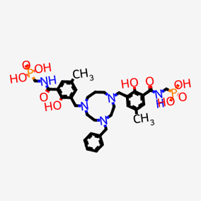 Cc1cc(CN2CCCN(Cc3cc(C)cc(C(=O)NCP(=O)(O)O)c3O)CCN(Cc3ccccc3)CC2)c(O)c(C(=O)NCP(=O)(O)O)c1